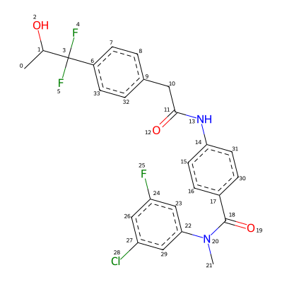 CC(O)C(F)(F)c1ccc(CC(=O)Nc2ccc(C(=O)N(C)c3cc(F)cc(Cl)c3)cc2)cc1